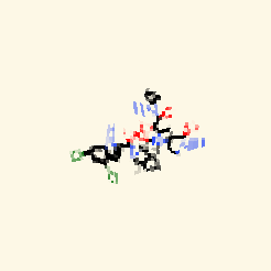 O=C(NC1CC1)C(=O)C(C[C@@H]1CCNC1=O)NC(=O)[C@@H]1[C@H]2CCC[C@H]2CN1C(=O)c1cc2c(Cl)cc(Cl)cc2[nH]1